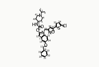 CC(C)N1CCC(NC(=O)Oc2cc3cc(OCc4ccccc4)ccc3n2Cc2cc(-c3ccc(Cl)s3)on2)CC1